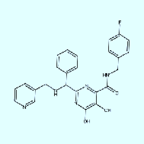 O=C(NCc1ccc(F)cc1)c1nc(C(NCc2cccnc2)c2ccccc2)nc(O)c1O